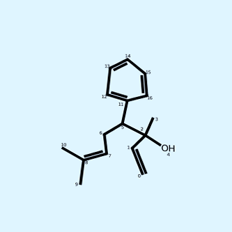 C=CC(C)(O)C(CC=C(C)C)c1ccccc1